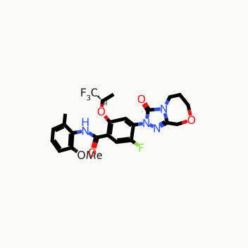 COc1cccc(C)c1NC(=O)c1cc(F)c(-n2nc3n(c2=O)CCCOC3)cc1O[C@@H](C)C(F)(F)F